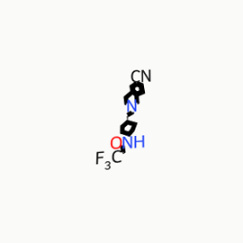 N#Cc1ccc2c(c1)CCN(CC[C@H]1CC[C@H](NC(=O)CC(F)(F)F)CC1)C2